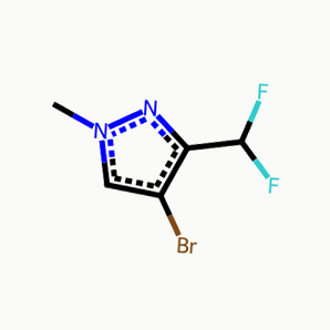 Cn1cc(Br)c(C(F)F)n1